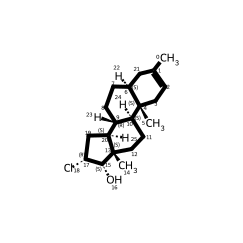 CC1=CC[C@@]2(C)[C@@H](CC[C@@H]3[C@@H]2CC[C@]2(C)[C@H](O)[C@H](Cl)C[C@@H]32)C1